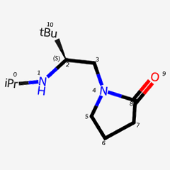 CC(C)N[C@H](CN1CCCC1=O)C(C)(C)C